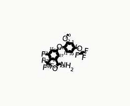 COc1cc(OC(F)(F)F)ccc1Oc1cc(F)c(C(F)(F)F)c(C(N)=O)c1